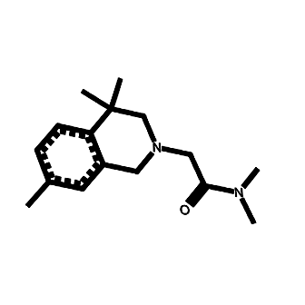 Cc1ccc2c(c1)CN(CC(=O)N(C)C)CC2(C)C